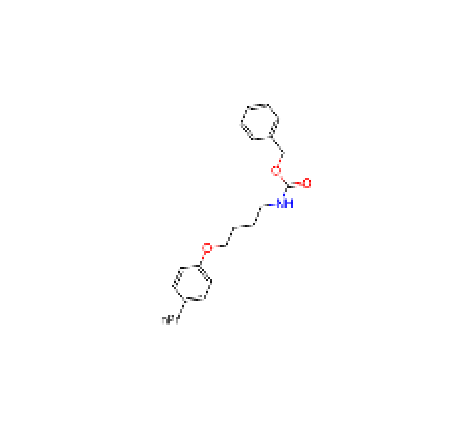 CCCc1ccc(OCCCCNC(=O)OCc2ccccc2)cc1